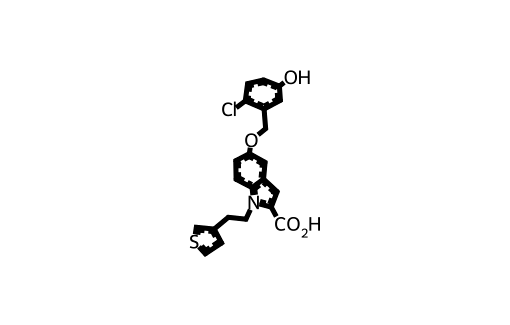 O=C(O)c1cc2cc(OCc3cc(O)ccc3Cl)ccc2n1CCc1ccsc1